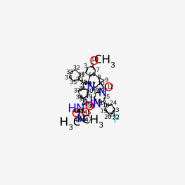 COc1ccc2c(c1)C1CC1(C(=O)N1CCNC(c3ccc(F)cc3)C1)Cn1c-2c(C2CCCCC2)c2ccc(C(=O)NS(=O)(=O)N(C)C)cc21